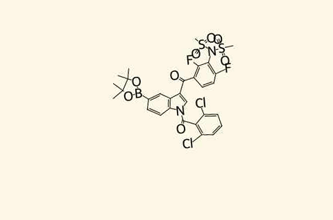 CC1(C)OB(c2ccc3c(c2)c(C(=O)c2ccc(F)c(N(S(C)(=O)=O)S(C)(=O)=O)c2F)cn3C(=O)c2c(Cl)cccc2Cl)OC1(C)C